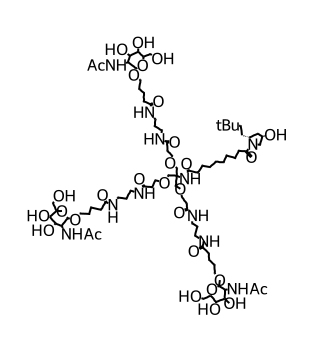 CC(=O)NC1C(OCCCCC(=O)NCCCNC(=O)CCOCC(COCCC(=O)NCCCNC(=O)CCCCOC2OC(CO)C(O)C(O)C2NC(C)=O)(COCCC(=O)NCCCNC(=O)CCCCOC2OC(CO)C(O)C(O)C2NC(C)=O)NC(=O)CCCCCCCCC(=O)N2C[C@@H](O)C[C@H]2CCC(C)(C)C)OC(CO)C(O)C1O